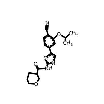 CC(C)Oc1cc(-c2cnc(NC(=O)C3CCCOC3)s2)ccc1C#N